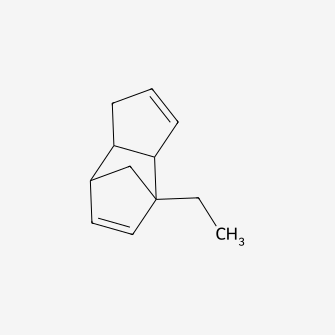 CCC12C=CC(C1)C1CC=CC12